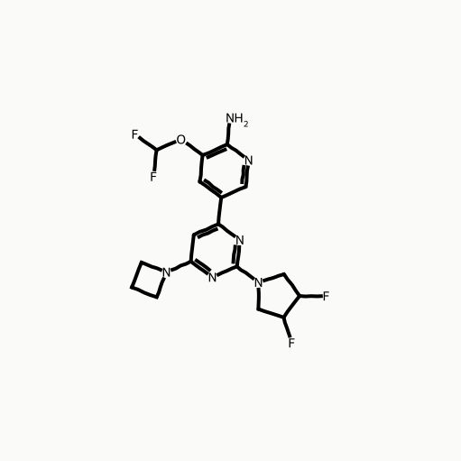 Nc1ncc(-c2cc(N3CCC3)nc(N3CC(F)C(F)C3)n2)cc1OC(F)F